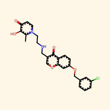 Cc1c(O)c(=O)ccn1CCNCc1coc2cc(OCc3cccc(Cl)c3)ccc2c1=O